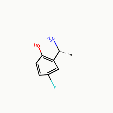 C[C@@H](N)c1cc(F)ccc1O